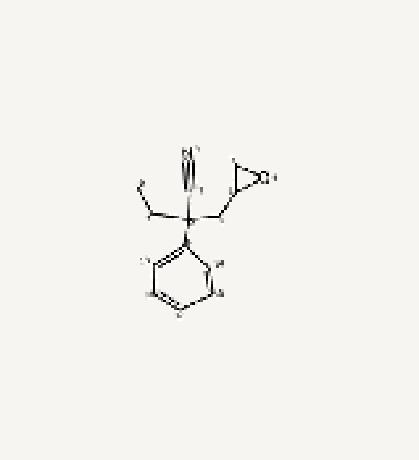 CCC(C#N)(CC1CO1)c1ccccc1